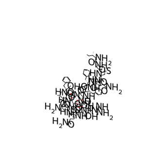 CC[C@H](C)[C@H](N)C(=O)NCC(=O)N[C@@H](CCSC)C(=O)N[C@@H](CCC(N)=O)C(=O)N[C@@H](Cc1ccccc1)C(=O)N[C@@H](Cc1ccccc1)C(=O)N[C@@H](CC(=O)O)C(=O)N1CCC[C@H]1C(=O)N[C@@H](CCCNC(=N)N)C(=O)N[C@H](C(=O)N[C@@H](CCC(N)=O)C(=O)N[C@@H](CC(N)=O)C(=O)N[C@H](C(=O)N[C@@H](CC(C)C)C(=O)N[C@@H](Cc1ccccc1)C(=O)O)[C@@H](C)CC)[C@@H](C)O